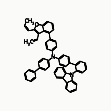 C=Cc1c(/C=C\C)oc2cccc(-c3ccc(N(c4ccc(-c5ccccc5)cc4)c4ccc(-c5ccccc5-n5c6ccccc6c6ccccc65)cc4)cc3)c12